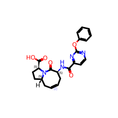 O=C(N[C@H]1C/C=C\C[C@@H]2CC[C@@H](C(=O)O)N2C1=O)c1ccnc(Oc2ccccc2)n1